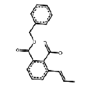 C/C=C/c1cccc(C(=O)OCc2ccccc2)c1C([O])=O